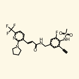 C#Cc1cc(CNC(=O)C=Cc2ccc(C(F)(F)F)nc2N2CCCC2)cc(F)c1NS(C)(=O)=O